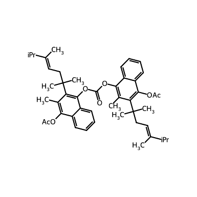 CC(=O)Oc1c(C)c(C(C)(C)C/C=C(\C)C(C)C)c(OC(=O)Oc2c(C)c(C(C)(C)C/C=C(\C)C(C)C)c(OC(C)=O)c3ccccc23)c2ccccc12